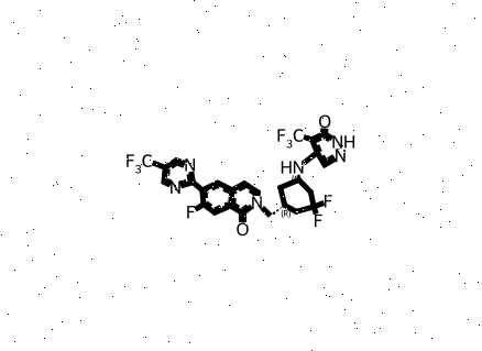 O=c1[nH]ncc(N[C@H]2C[C@@H](Cn3ccc4cc(-c5ncc(C(F)(F)F)cn5)c(F)cc4c3=O)CC(F)(F)C2)c1C(F)(F)F